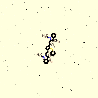 CCN1/C(=C/C=C2\C=CC(/C=C/C3=[N+](CC)c4ccccc4C3(C)C)=C2Sc2ccccc2)C(C)(C)c2ccccc21